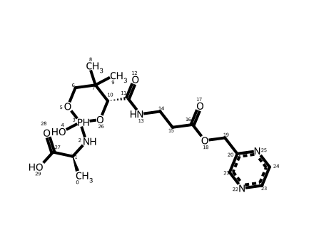 C[C@H](N[PH]1(O)OCC(C)(C)[C@H](C(=O)NCCC(=O)OCc2cnccn2)O1)C(=O)O